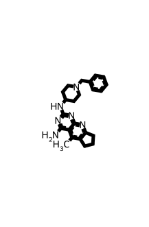 Cc1c2c(nc3nc(NC4CCN(Cc5ccccc5)CC4)nc(N)c13)CCC2